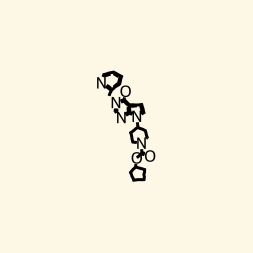 Cc1ncccc1Oc1ncnc2c1ccn2C1CCN(C(=O)OC2CCCC2)CC1